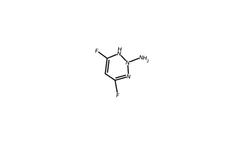 NN1N=C(F)C=C(F)N1